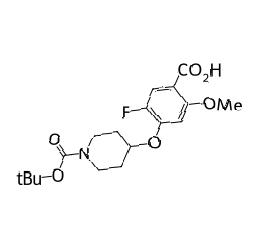 COc1cc(OC2CCN(C(=O)OC(C)(C)C)CC2)c(F)cc1C(=O)O